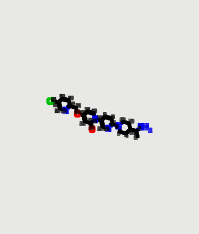 CC(N)C1CCN(c2ccc(-n3ccc(OCc4ccc(Cl)cn4)cc3=O)cn2)CC1